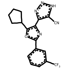 N#Cc1[nH]nnc1-c1nc(-c2cccc(C(F)(F)F)c2)oc1C1CCCC1